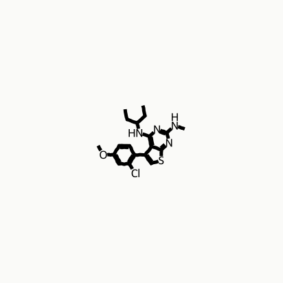 CCC(CC)Nc1nc(NC)nc2scc(-c3ccc(OC)cc3Cl)c12